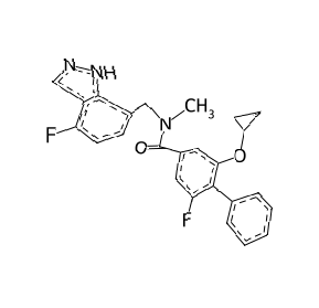 CN(Cc1ccc(F)c2cn[nH]c12)C(=O)c1cc(F)c(-c2ccccc2)c(OC2CC2)c1